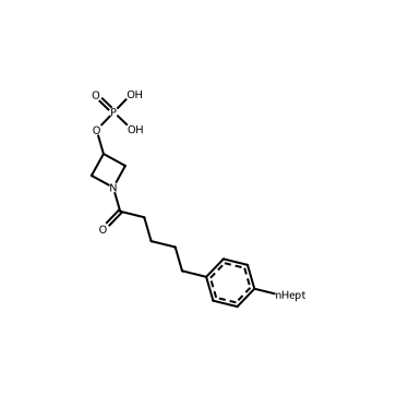 CCCCCCCc1ccc(CCCCC(=O)N2CC(OP(=O)(O)O)C2)cc1